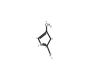 CC1=CN=C(F)C1